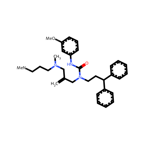 C=C(CN(C)CCCNC)CN(CCC(c1ccccc1)c1ccccc1)C(=O)Nc1cccc(OC)c1